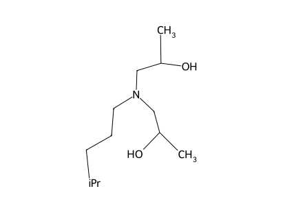 CC(C)CCCN(CC(C)O)CC(C)O